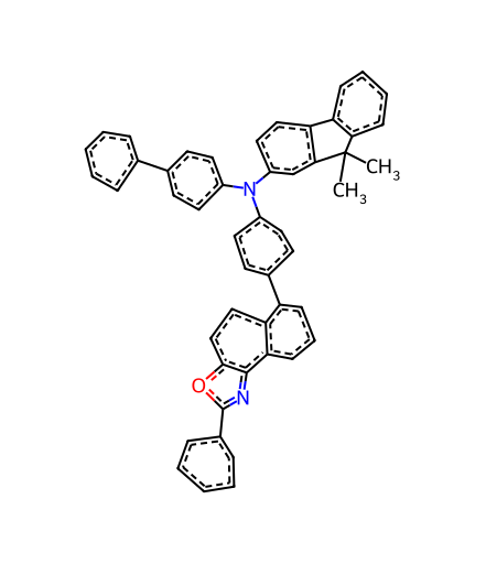 CC1(C)c2ccccc2-c2ccc(N(c3ccc(-c4ccccc4)cc3)c3ccc(-c4cccc5c4ccc4oc(-c6ccccc6)nc45)cc3)cc21